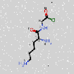 NCCCC[C@H](N)C(=O)NCC(=O)Cl